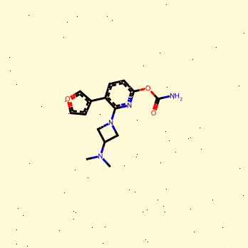 CN(C)C1CN(c2nc(OC(N)=O)ccc2-c2ccoc2)C1